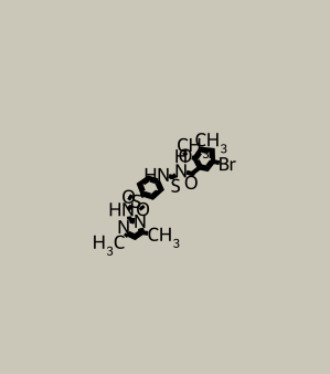 COc1c(C)cc(Br)cc1C(=O)NC(=S)Nc1ccc(S(=O)(=O)Nc2nc(C)cc(C)n2)cc1